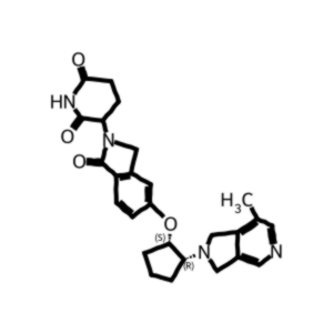 Cc1cncc2c1CN([C@@H]1CCC[C@@H]1Oc1ccc3c(c1)CN(C1CCC(=O)NC1=O)C3=O)C2